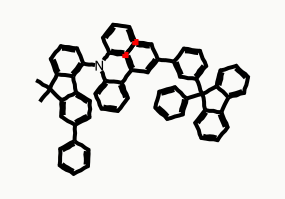 CC1(C)c2cc(-c3ccccc3)ccc2-c2c(N(c3ccccc3)c3ccccc3-c3cccc(-c4cccc(C5(c6ccccc6)c6ccccc6-c6ccccc65)c4)c3)cccc21